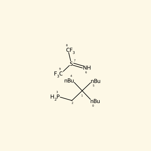 CCCCC(CP)(CCCC)CCCC.N=S(C(F)(F)F)C(F)(F)F